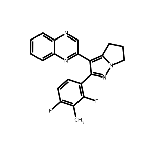 Cc1c(F)ccc(-c2nn3c(c2-c2cnc4ccccc4n2)CCC3)c1F